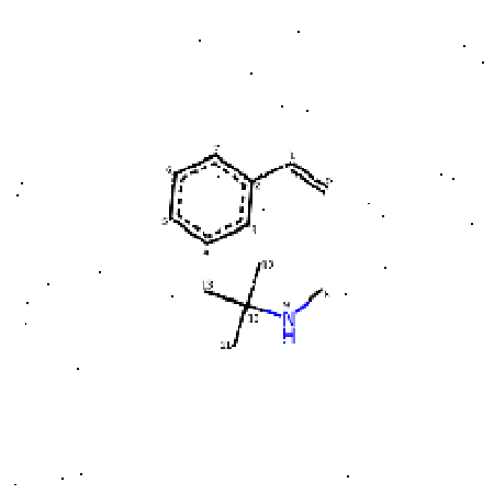 C=Cc1ccccc1.CNC(C)(C)C